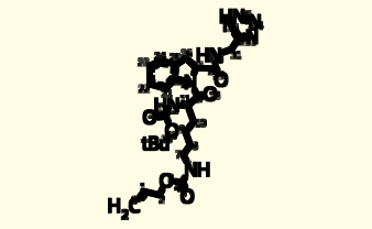 C=CCOC(=O)NCCCCC(NC(=O)OC(C)(C)C)C(=O)N1c2ccccc2CC1C(=O)NCc1nn[nH]n1